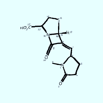 CN1C(=O)CCC1C=C1C(=O)N2C(C(=O)O)CS[C@H]12